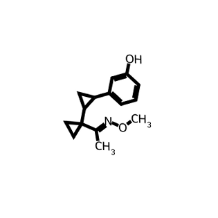 CON=C(C)C1(C2CC2c2cccc(O)c2)CC1